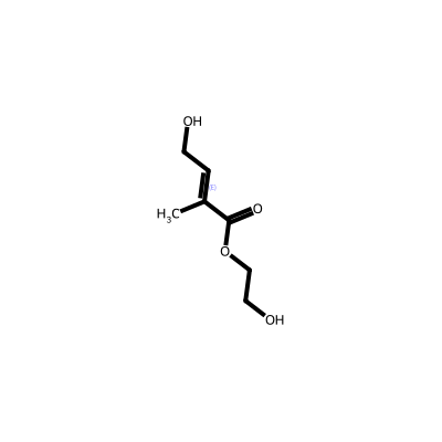 C/C(=C\CO)C(=O)OCCO